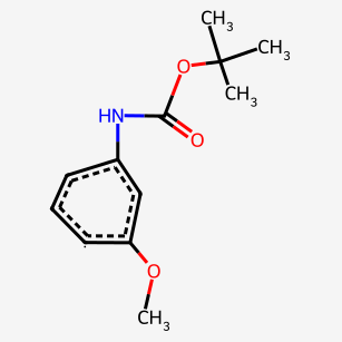 COc1[c]ccc(NC(=O)OC(C)(C)C)c1